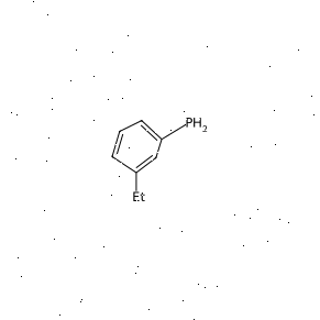 CCc1cccc(P)c1